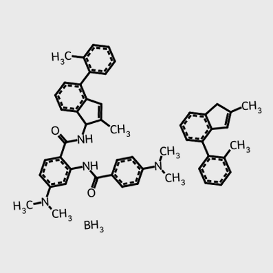 B.CC1=Cc2c(-c3ccccc3C)cccc2C1NC(=O)c1ccc(N(C)C)cc1NC(=O)c1ccc(N(C)C)cc1.CC1=Cc2c(cccc2-c2ccccc2C)C1